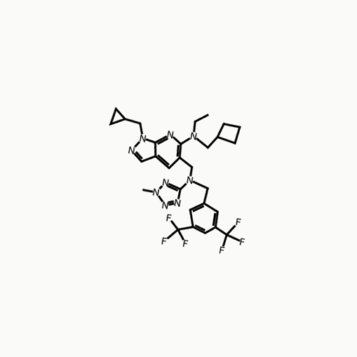 CCN(CC1CCC1)c1nc2c(cnn2CC2CC2)cc1CN(Cc1cc(C(F)(F)F)cc(C(F)(F)F)c1)c1nnn(C)n1